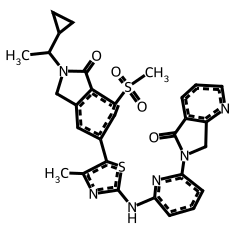 Cc1nc(Nc2cccc(N3Cc4ncccc4C3=O)n2)sc1-c1cc2c(c(S(C)(=O)=O)c1)C(=O)N(C(C)C1CC1)C2